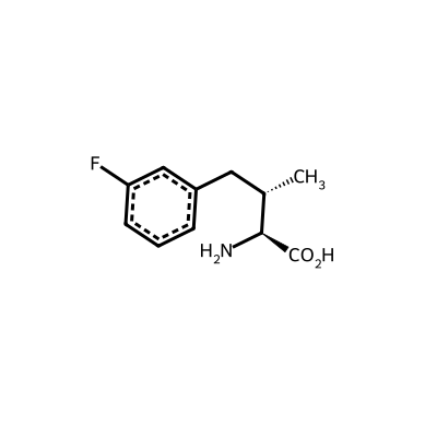 C[C@@H](Cc1cccc(F)c1)[C@H](N)C(=O)O